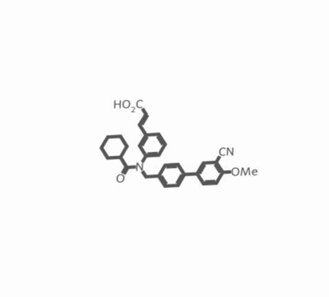 COc1ccc(-c2ccc(CN(C(=O)C3CCCCC3)c3cccc(C=CC(=O)O)c3)cc2)cc1C#N